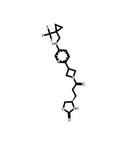 O=C1N[C@H](CCC(=O)N2CC(c3ccc(NCC4(C(F)(F)F)CC4)cn3)C2)CO1